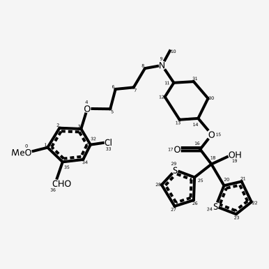 COc1cc(OCCCCN(C)C2CCC(OC(=O)C(O)(c3cccs3)c3cccs3)CC2)c(Cl)cc1C=O